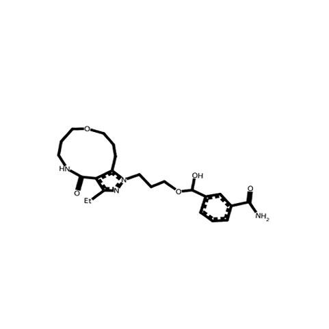 CCc1nn(CCCOC(O)c2cccc(C(N)=O)c2)c2c1C(=O)NCCCOCCC2